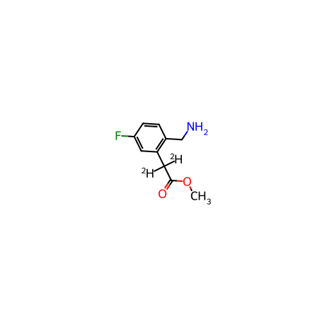 [2H]C([2H])(C(=O)OC)c1cc(F)ccc1CN